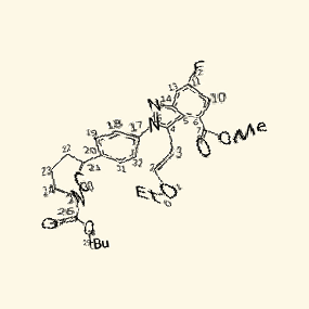 CCOC=Cc1c2c(C(=O)OC)cc(F)cc2nn1-c1ccc(C2CCCN(C(=O)OC(C)(C)C)C2)cc1